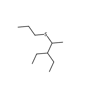 CCCSC(C)C(CC)CC